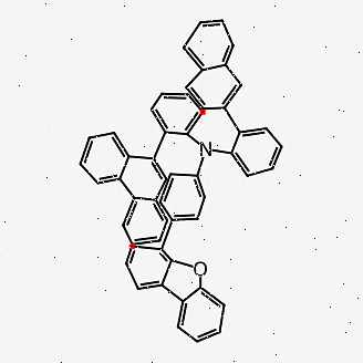 c1ccc(N(c2ccc(-c3cccc4c3oc3ccccc34)cc2)c2ccccc2-c2cc3ccccc3c3ccccc23)c(-c2ccc3ccccc3c2)c1